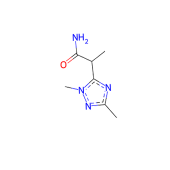 Cc1nc(C(C)C(N)=O)n(C)n1